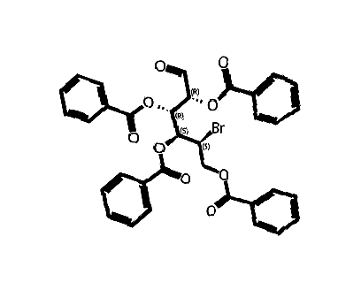 O=C[C@H](OC(=O)c1ccccc1)[C@@H](OC(=O)c1ccccc1)[C@H](OC(=O)c1ccccc1)[C@@H](Br)COC(=O)c1ccccc1